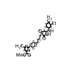 CCc1cc(Nc2cc(=O)n(CCCCN3CCN(c4nc(C)cc(C(=O)OC)n4)CC3)c(=O)[nH]2)ccc1C